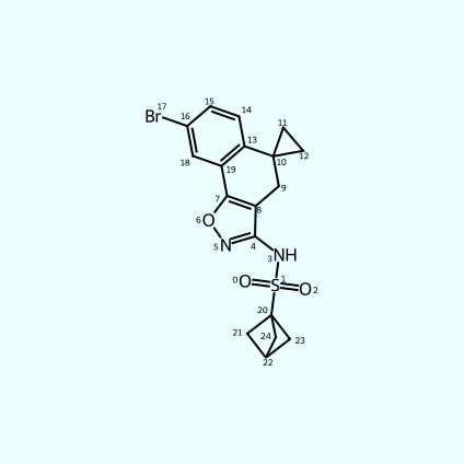 O=S(=O)(Nc1noc2c1CC1(CC1)c1ccc(Br)cc1-2)C12CC(C1)C2